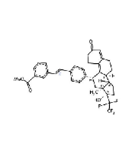 COC(=O)c1cccc(/C=C/c2ccc([C@H]3C[C@@]4(C)[C@@H](CC[C@@]4(O)C(F)(F)C(F)(F)F)[C@@H]4CCC5=CC(=O)CCC5=C43)cc2)c1